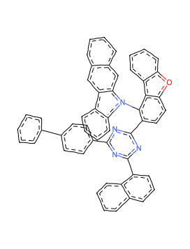 c1ccc(-c2ccc(-c3nc(-c4ccc5oc6ccccc6c5c4-n4c5ccccc5c5cc6ccccc6cc54)nc(-c4cccc5ccccc45)n3)cc2)cc1